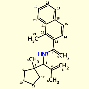 C=C(NC(C(=C)C)C1(C)CCCC1)c1ccc2ccccc2c1C